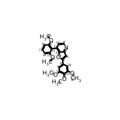 COc1cc(-c2cc3nccc(-c4c(OC)cccc4OC)c3o2)cc(OC)c1OC